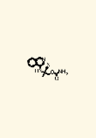 CC(C#N)(COC(N)=O)Nc1cncc2ccccc12